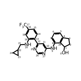 OC1CCc2cccc(Nc3cc(-c4ccc(C(F)(F)F)cc4NCC4CC4)ncn3)c21